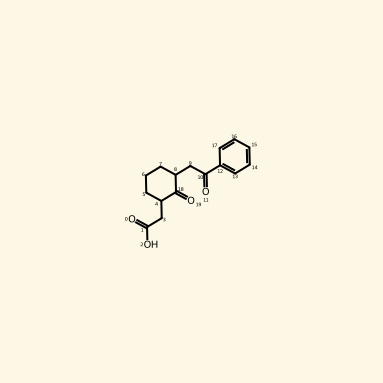 O=C(O)CC1CCCC(CC(=O)c2ccccc2)C1=O